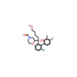 COCCCC[C@@](O)(c1cccc(F)c1-c1ccc(F)c(C)c1)C1CN(C=O)CCO1